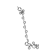 Cc1ccc(S(=O)(=O)OCCOCCOCCOCCOCCOCCSc2cccc3c2CN(C2CCC(=O)NC2=O)C3=O)cc1